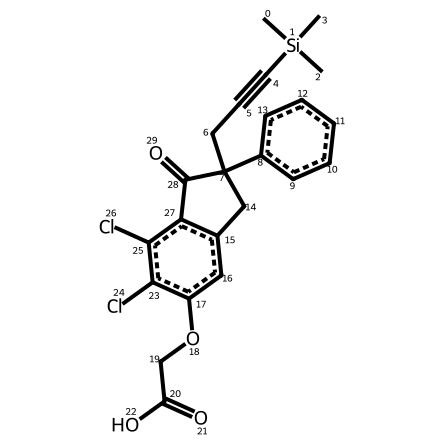 C[Si](C)(C)C#CCC1(c2ccccc2)Cc2cc(OCC(=O)O)c(Cl)c(Cl)c2C1=O